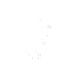 Cc1ccc(-c2nc(-c3c[nH]c(C(=O)N4CCCC4)c3)cs2)cc1NC(=O)CCl